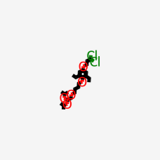 CCc1cc(OCC=C(Cl)Cl)cc(CC)c1OCCCCOCC(OC(C)C)OC(C)C